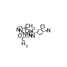 CC(Cn1ccc(-c2ccc(C#N)c(Cl)c2)n1)NC(=O)n1nccc1[C@H](C)O